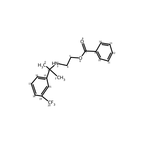 CC(C)(NCCOC(=O)c1ccccc1)c1cccc(C(F)(F)F)c1